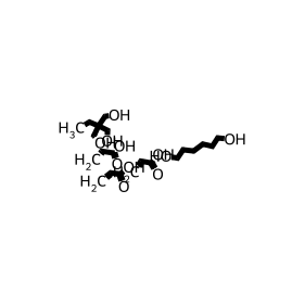 C=CC(=O)O.C=CC(=O)O.C=CC(=O)O.CCC(CO)(CO)CO.OCCCCCCO